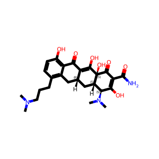 CN(C)CCCc1ccc(O)c2c1C[C@H]1C[C@H]3[C@H](N(C)C)C(O)=C(C(N)=O)C(=O)[C@@]3(O)C(O)=C1C2=O